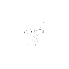 Cc1[nH]c([C@@H](Cc2cn(C)c3ccccc23)NC(=O)[C@H](CC(C)C)NC(=O)OC2CCCCC2)nc1C(=O)O